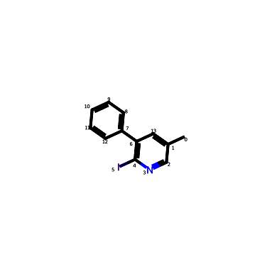 Cc1cnc(I)c(-c2ccccc2)c1